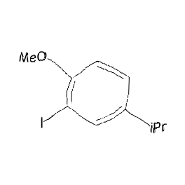 COc1ccc(C(C)C)cc1I